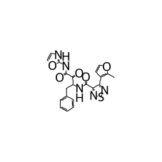 Cc1occc1-c1nsnc1C(=O)NC(Cc1ccccc1)C(=O)C(=O)Nc1ncco1